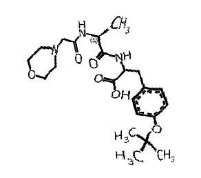 C[C@H](NC(=O)CN1CCOCC1)C(=O)NC(Cc1ccc(OC(C)(C)C)cc1)C(=O)O